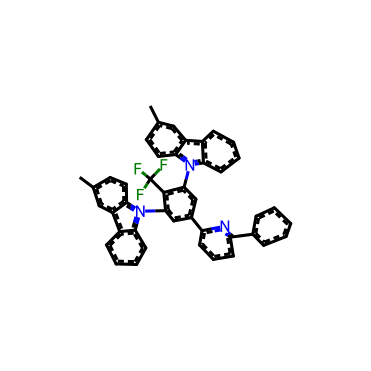 Cc1ccc2c(c1)c1ccccc1n2-c1cc(-c2cccc(-c3ccccc3)n2)cc(-n2c3ccccc3c3cc(C)ccc32)c1C(F)(F)F